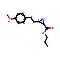 CCCOC(=O)C1NC1CCc1ccc(OC)cc1